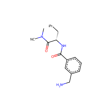 CC(C)C[C@H](NC(=O)c1cccc(CN)c1)C(=O)N(C)C#N